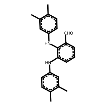 Cc1ccc(Nc2cccc(C=O)c2Nc2ccc(C)c(C)c2)cc1C